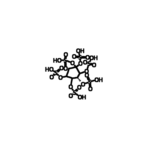 O=S(=O)(O)OC1CC(OS(=O)(=O)O)(OS(=O)(=O)O)C(OS(=O)(=O)O)[C@H](OS(=O)(=O)O)C1OS(=O)(=O)O